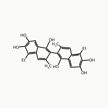 CCc1c(O)c(O)cc2c(O)c(-c3c(C)cc4c(CC)c(O)c(O)cc4c3O)c(C)cc12